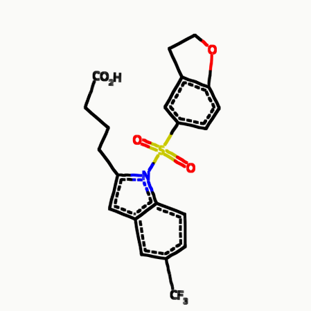 O=C(O)CCCc1cc2cc(C(F)(F)F)ccc2n1S(=O)(=O)c1ccc2c(c1)CCO2